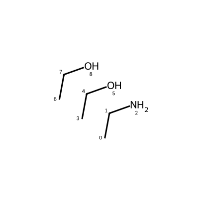 CCN.CCO.CCO